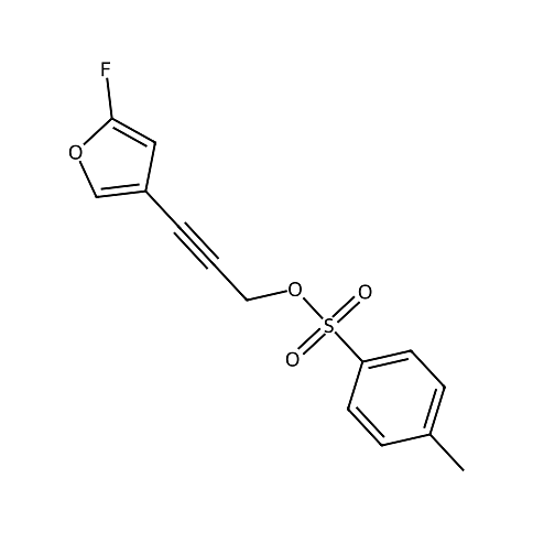 Cc1ccc(S(=O)(=O)OCC#Cc2coc(F)c2)cc1